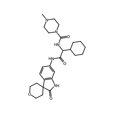 CN1CCN(C(=O)NC(C(=O)Nc2ccc3c(c2)NC(=O)C32CCOCC2)C2CCCCC2)CC1